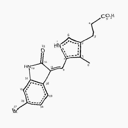 Cc1c(CCC(=O)O)c[nH]c1C=C1C(=O)Nc2cc(Br)ccc21